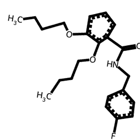 CCCCOc1cccc(C(=O)NCc2ccc(F)cc2)c1OCCCC